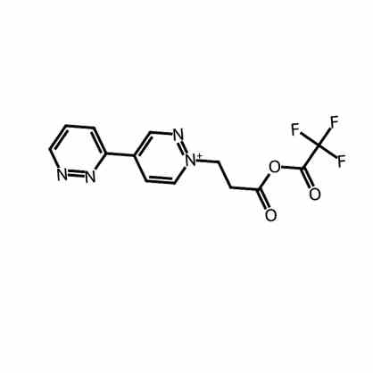 O=C(CC[n+]1ccc(-c2cccnn2)cn1)OC(=O)C(F)(F)F